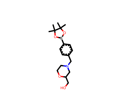 CC1(C)OB(c2ccc(CN3CCOC(CO)C3)cc2)OC1(C)C